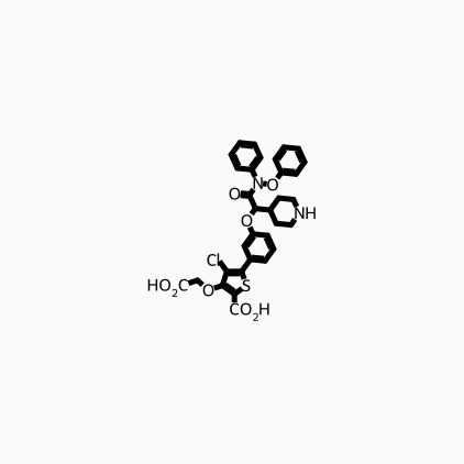 O=C(O)COc1c(C(=O)O)sc(-c2cccc(OC(C(=O)N(Oc3ccccc3)c3ccccc3)C3CCNCC3)c2)c1Cl